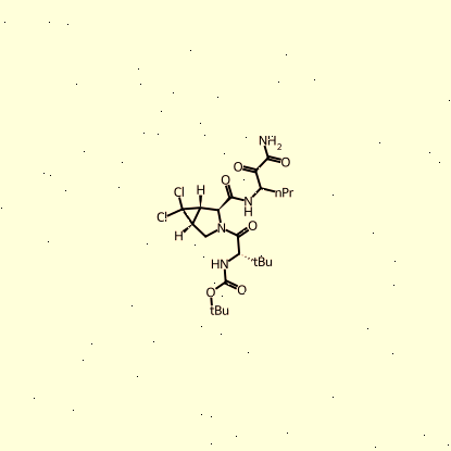 CCCC(NC(=O)[C@@H]1[C@@H]2[C@H](CN1C(=O)[C@@H](NC(=O)OC(C)(C)C)C(C)(C)C)C2(Cl)Cl)C(=O)C(N)=O